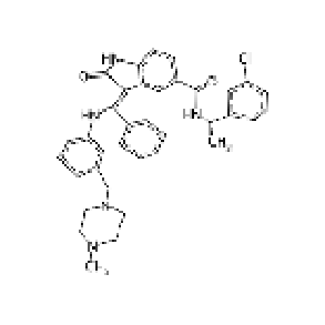 C[C@@H](NC(=O)c1ccc2c(c1)/C(=C(/Nc1cccc(CN3CCN(C)CC3)c1)c1ccccc1)C(=O)N2)c1cccc(Cl)c1